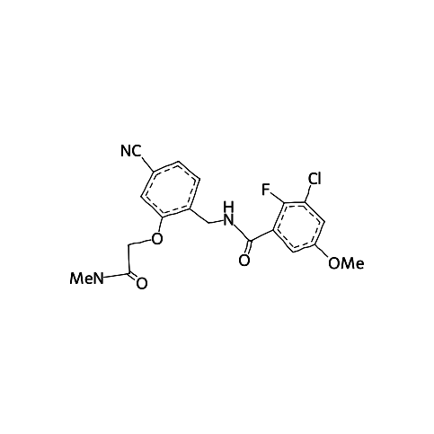 CNC(=O)COc1cc(C#N)ccc1CNC(=O)c1cc(OC)cc(Cl)c1F